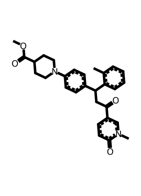 COC(=O)C1CCN(c2ccc(C(CC(=O)c3ccc(=O)n(C)c3)c3ccccc3C)cc2)CC1